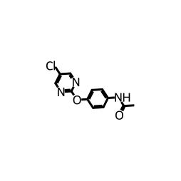 CC(=O)Nc1ccc(Oc2ncc(Cl)cn2)cc1